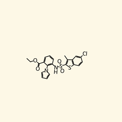 CCOC(=O)c1cccc(NS(=O)(=O)c2sc3ccc(Cl)cc3c2C)c1-n1cccc1